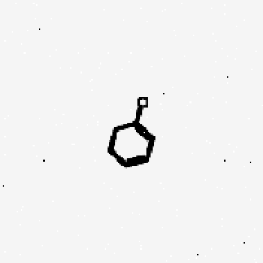 ClC1=CC=CCC1